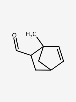 CC12C=CC(CC1C=O)C2